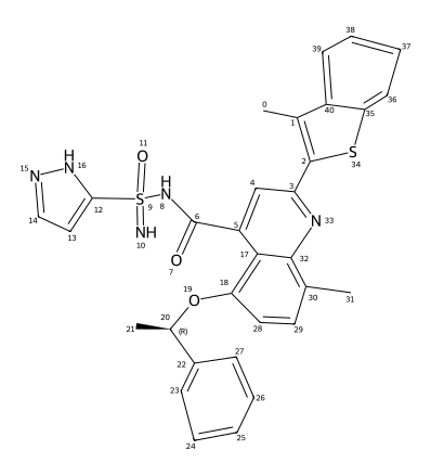 Cc1c(-c2cc(C(=O)NS(=N)(=O)c3ccn[nH]3)c3c(O[C@H](C)c4ccccc4)ccc(C)c3n2)sc2ccccc12